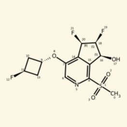 CS(=O)(=O)c1ncc(O[C@H]2C[C@H](F)C2)c2c1[C@H](O)[C@H](F)[C@@H]2F